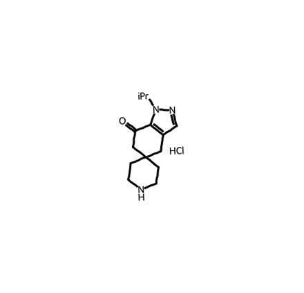 CC(C)n1ncc2c1C(=O)CC1(CCNCC1)C2.Cl